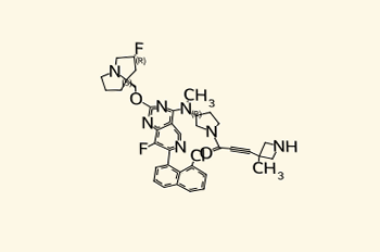 CN(c1nc(OC[C@@]23CCCN2C[C@H](F)C3)nc2c(F)c(-c3cccc4cccc(Cl)c34)ncc12)[C@@H]1CCN(C(=O)C#CC2(C)CNC2)C1